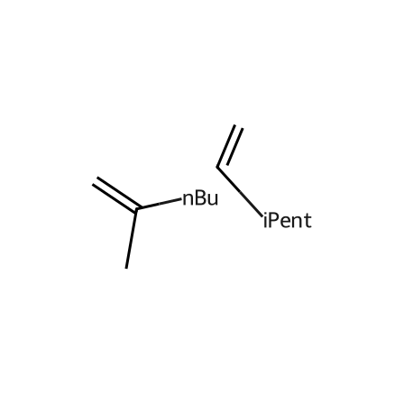 C=C(C)CCCC.C=CC(C)CCC